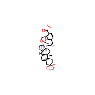 COC(=O)c1ccc(/C=C\C[C@]23CC[C@@H]4[C@@H](CC=C5CC6(CC[C@]54C)OCCO6)[C@@H]2CC[C@@H]3C2(C)OCCO2)cc1